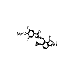 COc1c(F)cc(C(=O)NCc2c(C3CC3)ccc3c2NNN3)cc1F